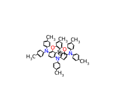 Cc1ccc(N(c2ccc(C)cc2)c2ccc3c4c2Oc2cc(C)cc5c2[Si]4(C)c2c(ccc(N(c4ccc(C)cc4)c4ccc(C)cc4)c2O5)N3c2ccc(C)cc2)cc1